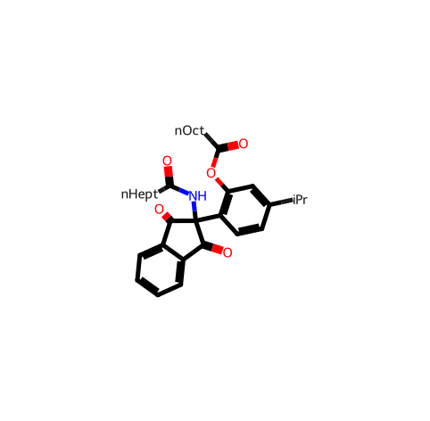 CCCCCCCCC(=O)Oc1cc(C(C)C)ccc1C1(NC(=O)CCCCCCC)C(=O)c2ccccc2C1=O